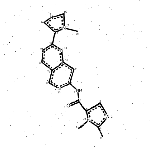 Cc1ncc(C(=O)Nc2cc3nc(-c4cncn4C)ccc3cn2)n1C